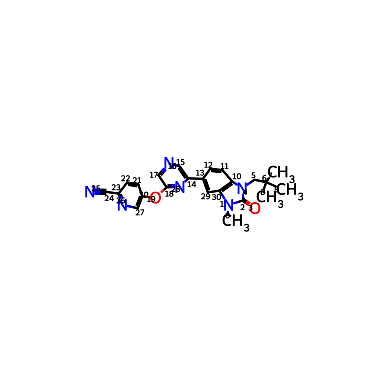 Cn1c(=O)n(CC(C)(C)C)c2ccc(-c3cncc(Oc4ccc(C#N)nc4)n3)cc21